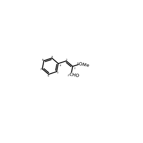 COC(C=O)=Cc1ccccc1